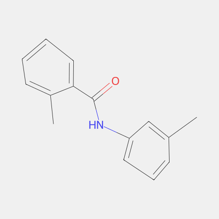 Cc1cccc(NC(=O)c2ccccc2C)c1